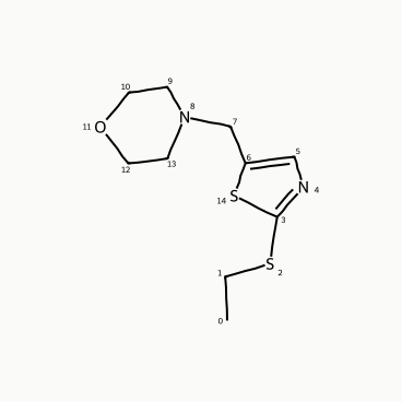 CCSc1ncc(CN2CCOCC2)s1